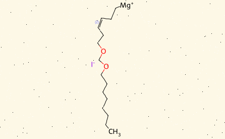 CCCCCCCCOCOCC/C=C\C[CH2][Mg+].[I-]